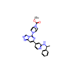 CC(Nc1cc(-c2cc3nncn3c(N3C=C4CC3CN4C(=O)OC(C)(C)C)n2)ccn1)c1ccccc1